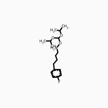 CC(C)OC(O[SiH2]CCCCc1ccc(F)cc1)OC(C)C